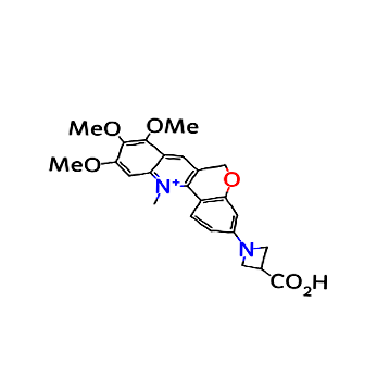 COc1cc2c(cc3c([n+]2C)-c2ccc(N4CC(C(=O)O)C4)cc2OC3)c(OC)c1OC